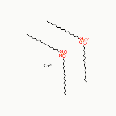 CCCCCCCCCCCCCCCCOP(=O)([O-])OCCCCCCCCCCCCCCCC.CCCCCCCCCCCCCCCCOP(=O)([O-])OCCCCCCCCCCCCCCCC.[Ca+2]